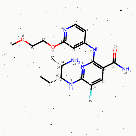 CC[C@@H](Nc1nc(Nc2ccnc(OCCOC)c2)c(C(N)=O)cc1F)[C@H](C)N